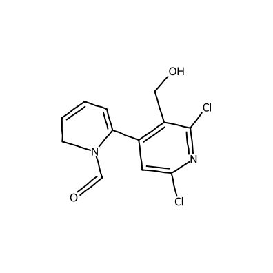 O=CN1CC=CC=C1c1cc(Cl)nc(Cl)c1CO